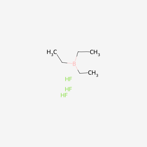 CCB(CC)CC.F.F.F